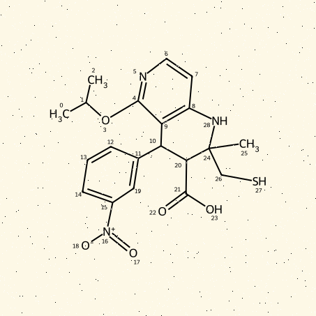 CC(C)Oc1nccc2c1C(c1cccc([N+](=O)[O-])c1)C(C(=O)O)C(C)(CS)N2